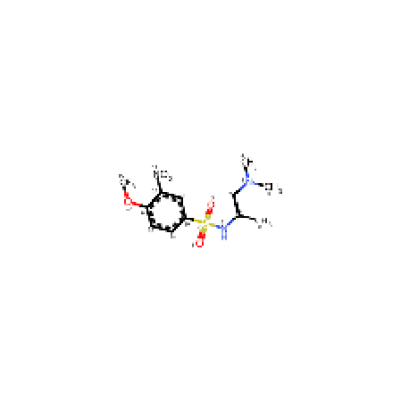 CC(CN(C)C)NS(=O)(=O)c1ccc(OC(F)(F)F)c([N+](=O)[O-])c1